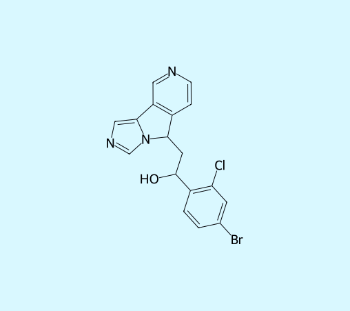 OC(CC1c2ccncc2-c2cncn21)c1ccc(Br)cc1Cl